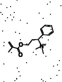 C=C(C)C(=O)OCCC(c1ccccc1)[N+](C)(C)C